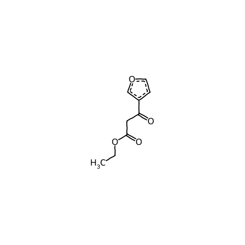 CCOC(=O)CC(=O)c1ccoc1